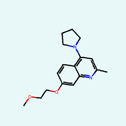 COCCOc1ccc2c(N3CCCC3)cc(C)nc2c1